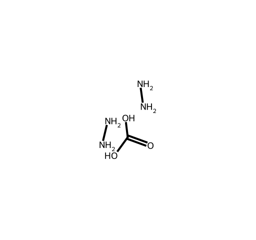 NN.NN.O=C(O)O